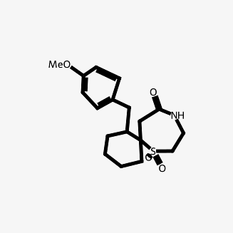 COc1ccc(CC2CCCCC23CC(=O)NCCS3(=O)=O)cc1